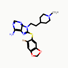 Nc1ncnc2c1nc(Sc1cc3c(cc1Br)OCO3)n2CCC1CCN(C(=O)O)CC1